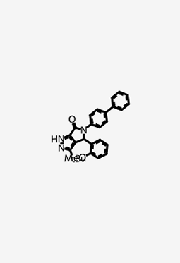 COc1ccccc1C1c2c(C(C)(C)C)n[nH]c2C(=O)N1c1ccc(-c2ccccc2)cc1